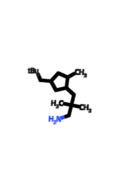 CC1CC(CC(C)(C)C)CC1CC(C)(C)CN